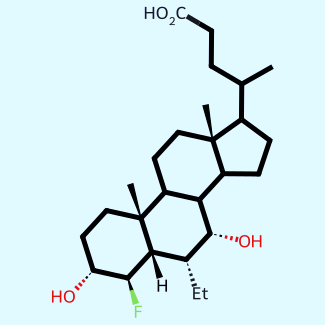 CC[C@@H]1[C@@H]2[C@@H](F)[C@H](O)CC[C@]2(C)C2CC[C@]3(C)C(C(C)CCC(=O)O)CCC3C2[C@@H]1O